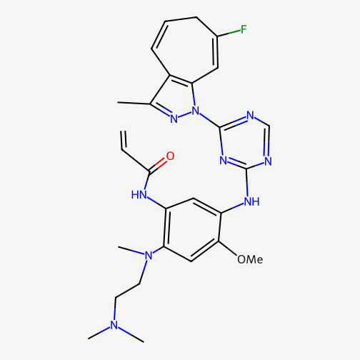 C=CC(=O)Nc1cc(Nc2ncnc(-n3nc(C)c4c3C=C(F)CC=C4)n2)c(OC)cc1N(C)CCN(C)C